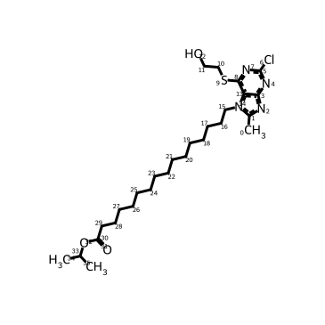 Cc1nc2nc(Cl)nc(SCCO)c2n1CCCCCCCCCCCCCCCC(=O)OC(C)C